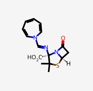 CC1(C)S[C@@H]2CC(=O)N2[C@@]1(N=CN1C=CC=CC=C1)C(=O)O